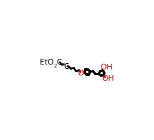 CCOC(=O)CCCCCCCCOc1ccc(/C=C/c2cc(O)cc(O)c2)cc1